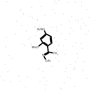 COc1cc(NC(C)=O)ccc1C(C)=NOC(C)=O